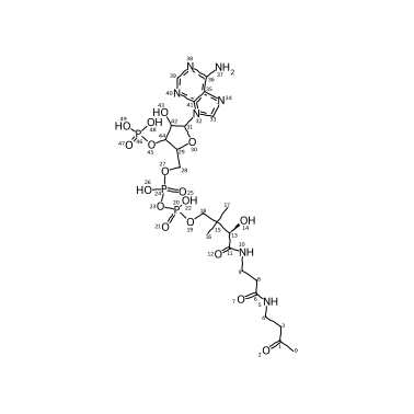 CC(=O)CCNC(=O)CCNC(=O)[C@H](O)C(C)(C)COP(=O)(O)OP(=O)(O)OCC1OC(n2cnc3c(N)ncnc32)C(O)C1OP(=O)(O)O